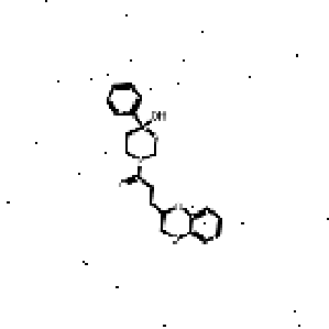 O=C(CCC1COc2ccccc2O1)N1CCC(O)(c2ccccc2)CC1